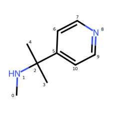 CNC(C)(C)c1ccncc1